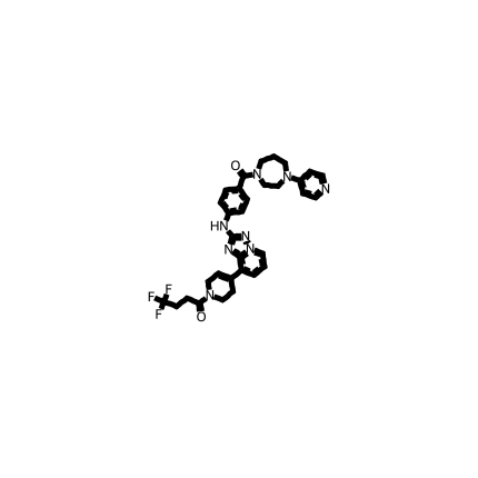 O=C(CCC(F)(F)F)N1CC=C(c2cccn3nc(Nc4ccc(C(=O)N5CCCN(c6ccncc6)CC5)cc4)nc23)CC1